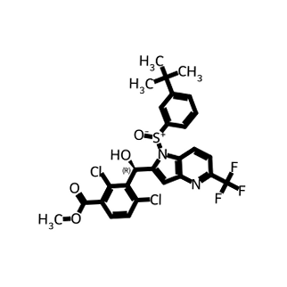 COC(=O)c1ccc(Cl)c([C@@H](O)c2cc3nc(C(F)(F)F)ccc3n2[S+]([O-])c2cccc(C(C)(C)C)c2)c1Cl